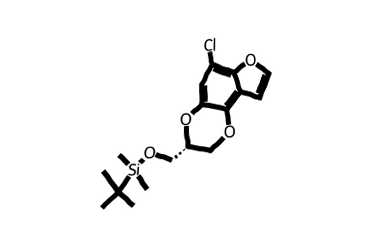 CC(C)(C)[Si](C)(C)OC[C@H]1COc2c(cc(Cl)c3occc23)O1